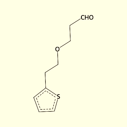 O=CCCOCCc1cccs1